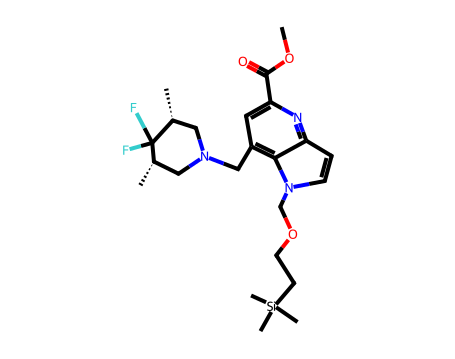 COC(=O)c1cc(CN2C[C@@H](C)C(F)(F)[C@@H](C)C2)c2c(ccn2COCC[Si](C)(C)C)n1